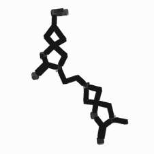 COC1CC2(C1)CN(CCN1CC3(C1)CN(C)C(=O)O3)C(=O)O2